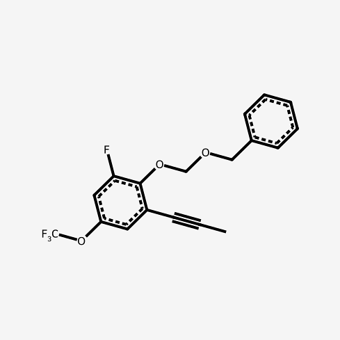 CC#Cc1cc(OC(F)(F)F)cc(F)c1OCOCc1ccccc1